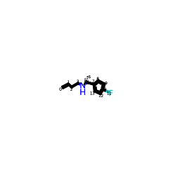 C=CCCN[C@H](C)c1ccc(F)cc1